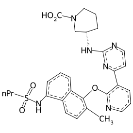 CCCS(=O)(=O)Nc1cccc2c(Oc3ncccc3-c3ccnc(N[C@H]4CCCN(C(=O)O)C4)n3)c(C)ccc12